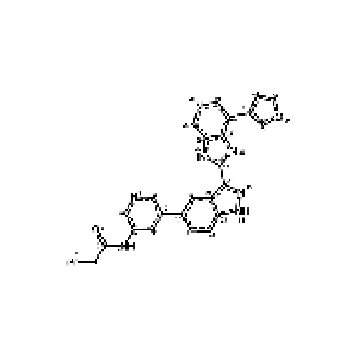 CC(C)CC(=O)Nc1cncc(-c2ccc3[nH]nc(-c4nc5c(-c6ccoc6)cncc5[nH]4)c3c2)c1